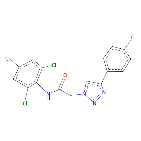 O=C(Cn1cc(-c2ccc(Cl)cc2)nn1)Nc1c(Cl)cc(Cl)cc1Cl